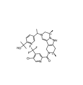 CC(c1ccc(C(C)(C)O)nc1)N1C=C2C3=C(C[C@@H](C)N(C(=O)c4cc(C(F)(F)F)c(Cl)cn4)C3)NN2[C@H](C)C1